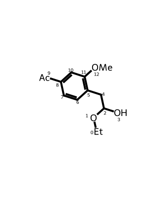 CCOC(O)Cc1ccc(C(C)=O)cc1OC